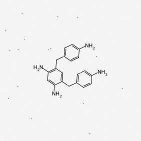 Nc1ccc(Cc2cc(Cc3ccc(N)cc3)c(N)cc2N)cc1